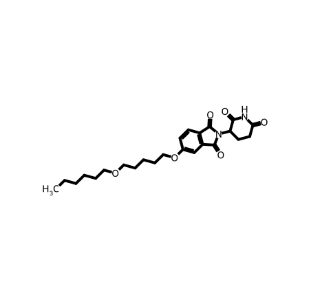 CCCCCCOCCCCCOc1ccc2c(c1)C(=O)N(C1CCC(=O)NC1=O)C2=O